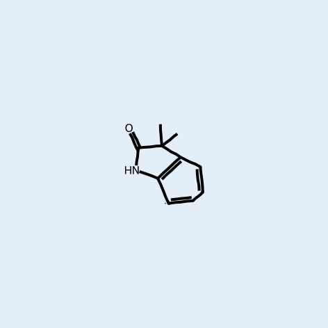 CC1(C)C(=O)Nc2[c]cccc21